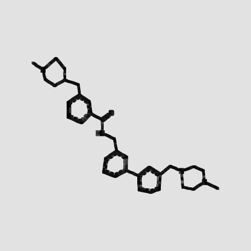 CN1CCC(Cc2cccc(C(=O)NCc3cccc(-c4cccc(CN5CCN(C)CC5)c4)c3)c2)CC1